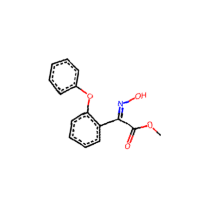 COC(=O)C(=NO)c1ccccc1Oc1ccccc1